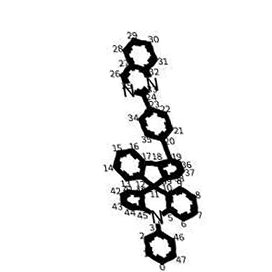 c1ccc(N2c3ccccc3C3(c4ccccc4-c4c(-c5ccc(-c6ncc7ccccc7n6)cc5)cccc43)c3ccccc32)cc1